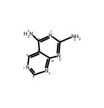 Nc1nc(N)c2cncnc2n1